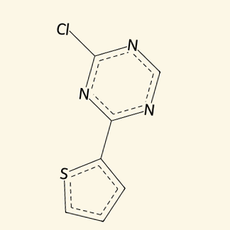 Clc1ncnc(-c2cccs2)n1